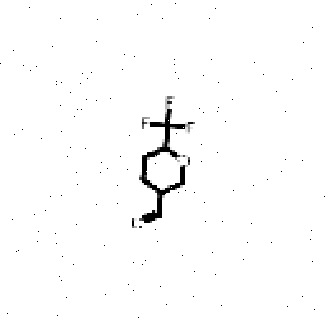 O=CC1CCC(C(F)(F)F)OC1